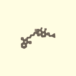 C[C@H](N[S+]([O-])CCCCCN1C(=O)c2ccccc2C1=O)c1cccc(OCC2CC2)c1F